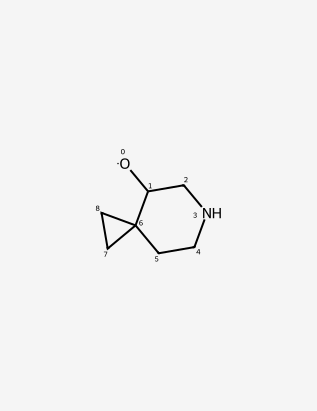 [O]C1CNCCC12CC2